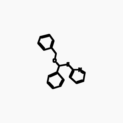 c1ccc(COC(Sc2ccccn2)c2ccccc2)cc1